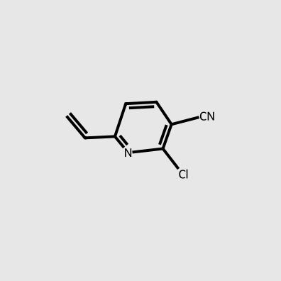 C=Cc1ccc(C#N)c(Cl)n1